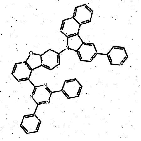 C1=C2c3c(cccc3-c3nc(-c4ccccc4)nc(-c4ccccc4)n3)OC2CC(n2c3ccc(-c4ccccc4)cc3c3c4ccccc4ccc32)=C1